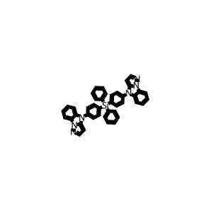 c1ccc([Si](c2ccccc2)(c2ccc(-n3c4ccccc4n4nccc34)cc2)c2ccc(-n3c4ccccc4n4nccc34)cc2)cc1